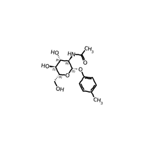 CC(=O)N[C@H]1[C@H](Oc2ccc(C)cc2)O[C@H](CO)[C@@H](O)[C@@H]1O